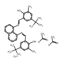 CC(=O)[O-].CC(=O)[O-].Cc1cc(C(C)(C)C)cc(C=Nc2cccc3cccc(N=Cc4cc(C(C)(C)C)cc(C)c4O)c23)c1O.[Co+2]